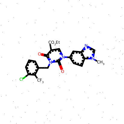 CCOC(=O)c1cn(-c2ccc3c(c2)ncn3C)c(=O)n(Cc2cccc(Cl)c2C(F)(F)F)c1=O